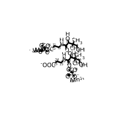 CC(C)(CO)C(O)C(=O)NCCC(=O)[O-].CC(C)(CO)C(O)C(=O)NCCC(=O)[O-].O=S(=O)([O-])[O-].O=S(=O)([O-])[O-].[Mn+2].[Mn+2].[Mn+2]